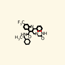 C[C@H](NC(=O)c1c(CN2CCNC(=O)C2)c(-c2ccccc2)nc2cc(C(F)(F)F)ccc12)C1CCCCC1